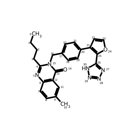 CCCCc1nc2ccc(C)cc2c(=O)n1Cc1ccc(-c2ccoc2-c2nnn[nH]2)cc1